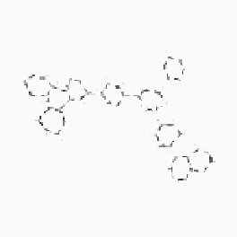 c1ccc(-c2cc(-c3ccc(-c4ccc5c6ccccc6c6ccccc6c5c4)cc3)nc(-c3ccc(-c4cncc5ccccc45)cc3)n2)cc1